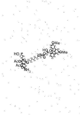 COc1ccc(C(OC[C@H](O)COC(=O)NCCCCCCCCO[C@@H]2O[C@H]([CH]CC(=O)O)[C@@H](OC(C)=O)[C@H](OC(C)=O)[C@H]2CC(N)=O)(c2ccccc2)c2ccc(OC)cc2)cc1